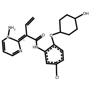 C=C/C(C(=O)Nc1cc(Cl)ccc1OC1CCC(O)CC1)=C1/N=CC=CN1N